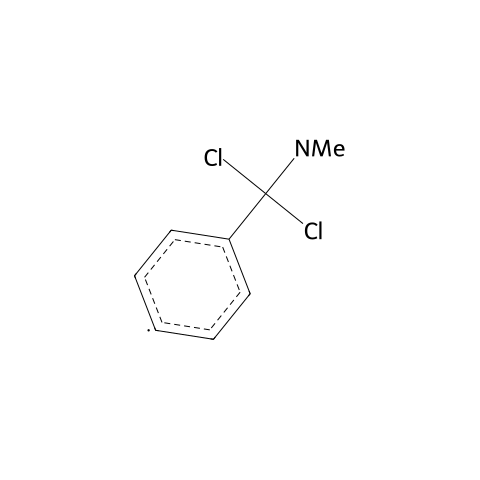 CNC(Cl)(Cl)c1cc[c]cc1